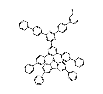 C=C/C=C(\C=C)c1ccc(-c2nc(-c3ccc(-c4ccccc4)cc3)nc(-c3cc(-c4ccc(-c5ccccc5)cc4)c(-n4c5ccc(-c6ccccc6)cc5c5cc(-c6ccccc6)ccc54)c(-c4ccc(-c5ccccc5)cc4)c3)n2)cc1